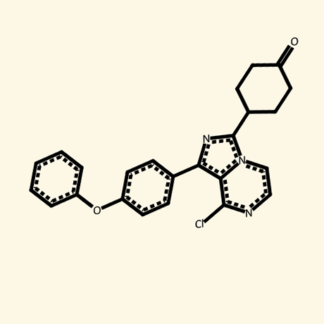 O=C1CCC(c2nc(-c3ccc(Oc4ccccc4)cc3)c3c(Cl)nccn23)CC1